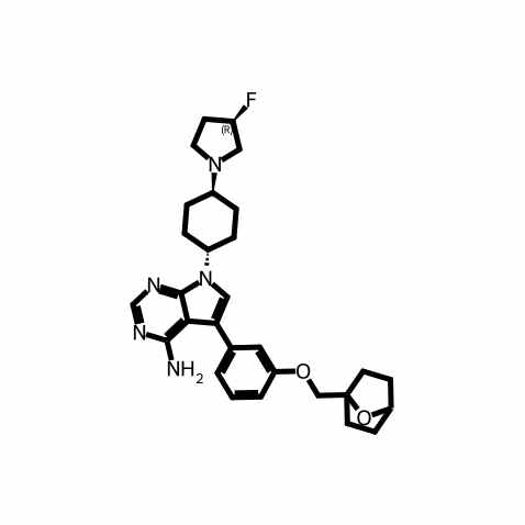 Nc1ncnc2c1c(-c1cccc(OCC34CCC(CC3)O4)c1)cn2[C@H]1CC[C@H](N2CC[C@@H](F)C2)CC1